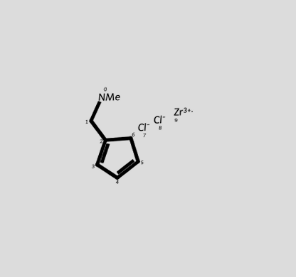 C[N-]CC1=CC=CC1.[Cl-].[Cl-].[Zr+3]